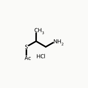 CC(=O)SC(C)CN.Cl